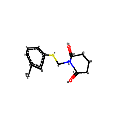 CCc1cccc(SCN2C(=O)CCCC2=O)c1